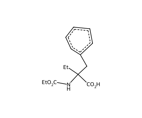 CCOC(=O)NC(CC)(Cc1ccccc1)C(=O)O